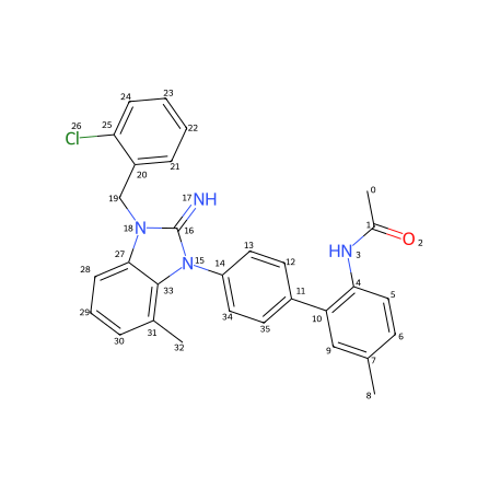 CC(=O)Nc1ccc(C)cc1-c1ccc(-n2c(=N)n(Cc3ccccc3Cl)c3cccc(C)c32)cc1